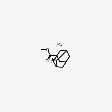 COC(=O)C12CC3CC(C1)C(N)C(C3)C2.Cl